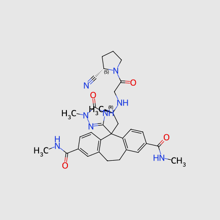 CNC(=O)c1ccc2c(c1)CCc1cc(C(=O)NC)ccc1C2(C[C@@H](C)NCC(=O)N1CCC[C@H]1C#N)c1nn(C)c(=O)[nH]1